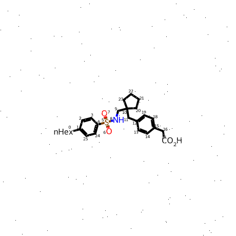 CCCCCCc1ccc(S(=O)(=O)NCC2(Cc3ccc(CC(=O)O)cc3)CCCC2)cc1